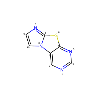 c1ncc2c(n1)sc1nccn12